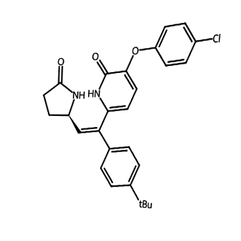 CC(C)(C)c1ccc(/C(=C/[C@H]2CCC(=O)N2)c2ccc(Oc3ccc(Cl)cc3)c(=O)[nH]2)cc1